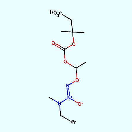 CC(C)CN(C)[N+]([O-])=NOC(C)OC(=O)OC(C)(C)CC(=O)O